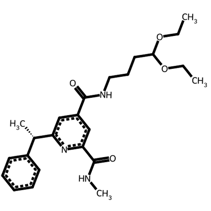 CCOC(CCCNC(=O)c1cc(C(=O)NC)nc([C@@H](C)c2ccccc2)c1)OCC